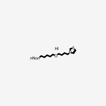 CCCCCCCCCCCCCCOCCCCN1C=CSC1.I